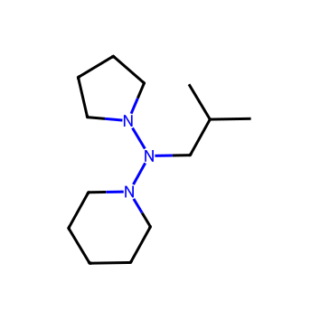 CC(C)CN(N1CCCCC1)N1CCCC1